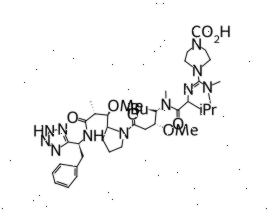 CC[C@H](C)[C@@H]([C@@H](CC(=O)N1CCCC1[C@H](OC)[C@@H](C)C(=O)N[C@@H](Cc1ccccc1)c1nn[nH]n1)OC)N(C)C(=O)C(N=C(N(C)C)N1CCN(C(=O)O)CC1)C(C)C